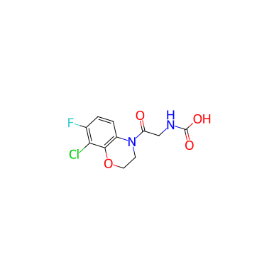 O=C(O)NCC(=O)N1CCOc2c1ccc(F)c2Cl